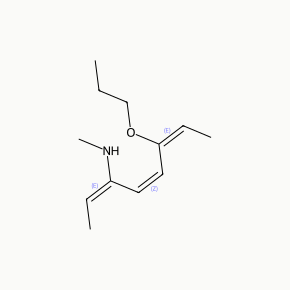 C\C=C(/C=C\C(=C/C)OCCC)NC